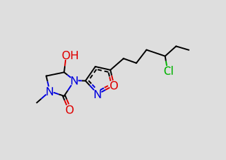 CCC(Cl)CCCc1cc(N2C(=O)N(C)CC2O)no1